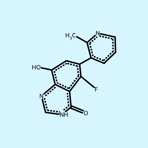 Cc1ncccc1-c1cc(O)c2nc[nH]c(=O)c2c1F